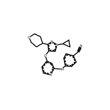 N#Cc1ccc(Nc2cc(Oc3cn(C4CC4)nc3C3CCOCC3)ccn2)cc1